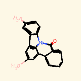 Bc1ccc2c(c1)c1cc(B)cc3c4ccccc4c(=O)n2c31